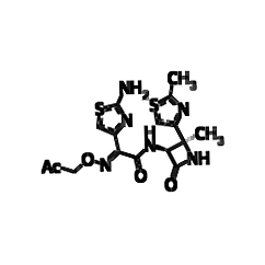 CC(=O)CO/N=C(/C(=O)N[C@@H]1C(=O)N[C@]1(C)c1csc(C)n1)c1csc(N)n1